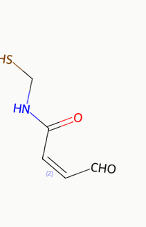 O=C/C=C\C(=O)NCS